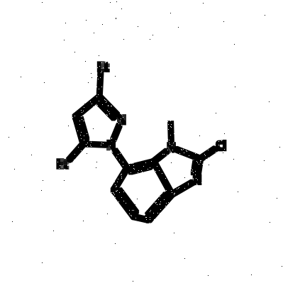 CCc1cc(CC)n(-c2cccc3nc(Cl)n(C)c23)n1